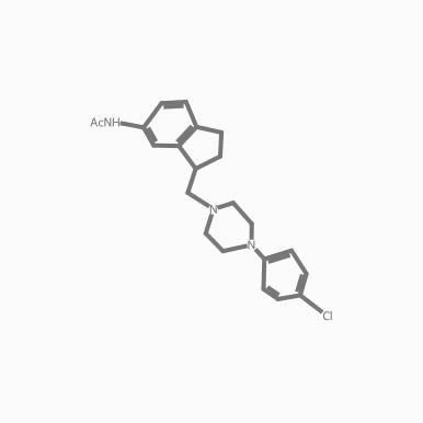 CC(=O)Nc1ccc2c(c1)C(CN1CCN(c3ccc(Cl)cc3)CC1)CC2